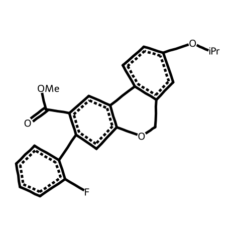 COC(=O)c1cc2c(cc1-c1ccccc1F)OCc1cc(OC(C)C)ccc1-2